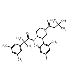 Cc1cc(F)ccc1[C@@H]1CN(C(=O)CC(C)(C)O)CC[C@H]1N(C)C(=O)C(C)(C)c1cc(C(F)(F)F)cc(C(F)(F)F)c1